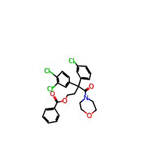 O=C(OCCC(C(=O)N1CCOCC1)(c1cccc(Cl)c1)c1ccc(Cl)c(Cl)c1)c1ccccc1